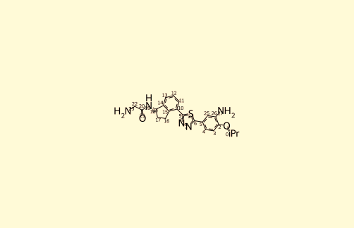 CC(C)Oc1ccc(-c2nnc(-c3cccc4c3CC[C@@H]4NC(=O)CN)s2)cc1N